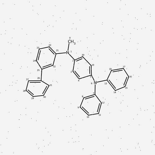 CN(c1ccc(N(c2ccccc2)c2ccccc2)cc1)c1cccc(-c2ccccc2)c1